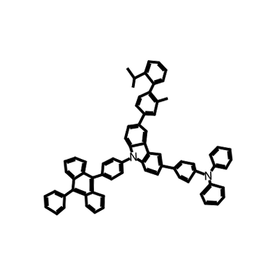 Cc1cc(-c2ccc3c(c2)c2cc(-c4ccc(N(c5ccccc5)c5ccccc5)cc4)ccc2n3-c2ccc(-c3c4ccccc4c(-c4ccccc4)c4ccccc34)cc2)ccc1-c1ccccc1C(C)C